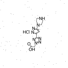 Cl.O=C(O)Cn1nnc(-c2nnc(N3CCNCC3)s2)n1